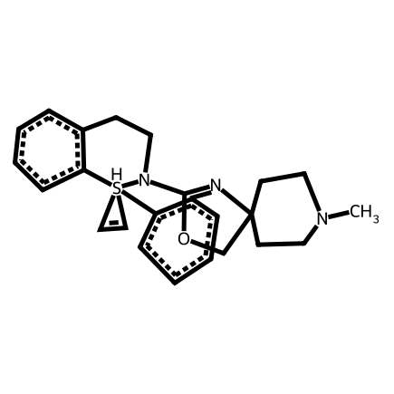 CN1CCC2(CC1)COC(N1CCc3ccccc3[SH]13(c1ccccc1)C=C3)=N2